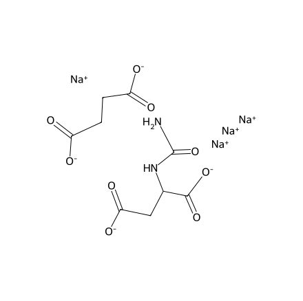 NC(=O)NC(CC(=O)[O-])C(=O)[O-].O=C([O-])CCC(=O)[O-].[Na+].[Na+].[Na+].[Na+]